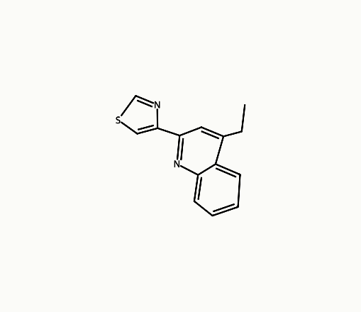 CCc1cc(-c2cscn2)nc2ccccc12